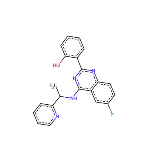 Oc1ccccc1-c1nc(NC(c2ccccn2)C(F)(F)F)c2cc(F)ccc2n1